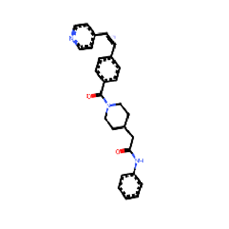 O=C(CC1CCN(C(=O)c2ccc(/C=C\c3ccncc3)cc2)CC1)Nc1ccccc1